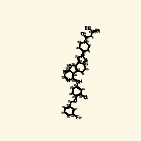 CCN(CC)CC(=O)N1CCC(n2cc3c(n2)CCc2c-3sc3ncnc(Nc4ccc(OCc5cccc(F)c5)c(Cl)c4)c23)CC1